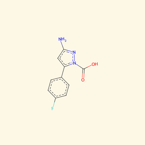 Nc1cc(-c2ccc(F)cc2)n(C(=O)O)n1